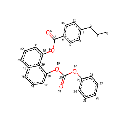 CCCc1ccc(C(=O)Oc2cccc3cccc(OC(=O)Oc4ccccc4)c23)cc1